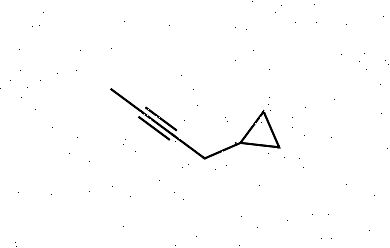 CC#CC[C]1CC1